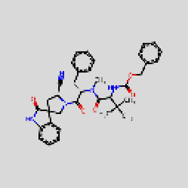 CN(C(=O)C(NC(=O)OCc1ccccc1)C(C)(C)C)[C@@H](Cc1ccccc1)C(=O)N1C[C@]2(C[C@H]1C#N)C(=O)Nc1ccccc12